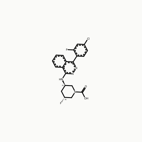 O=C(O)N1C[C@H](F)C[C@@H](Nc2nnc(-c3ccc(Cl)cc3F)c3ccccc23)C1